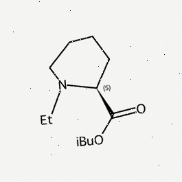 CCN1CCCC[C@H]1C(=O)OCC(C)C